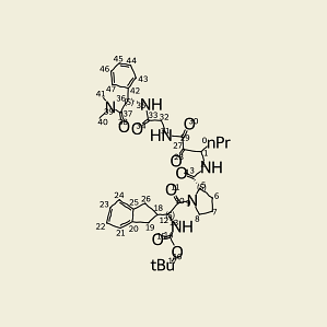 CCCC(NC(=O)[C@@H]1CCCN1C(=O)[C@@H](NC(=O)OC(C)(C)C)C1Cc2ccccc2C1)C(=O)C(=O)NCC(=O)N[C@H](C(=O)N(C)C)c1ccccc1